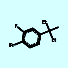 CCC(C)(CC)c1ccc(C(C)C)c(F)c1